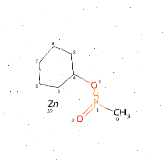 C[PH](=O)OC1CCCCC1.[Zn]